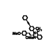 COc1ccc(/C=C/c2nc3ccccc3c(=O)n2-c2ccc(C#Cc3ccccc3)cc2C)c(OC)c1